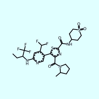 CCC(Nc1cc(C(F)F)c(-c2sc(C(=O)NC3CCS(=O)(=O)CC3)nc2C(=O)N2CCCC2C)cn1)C(F)(F)F